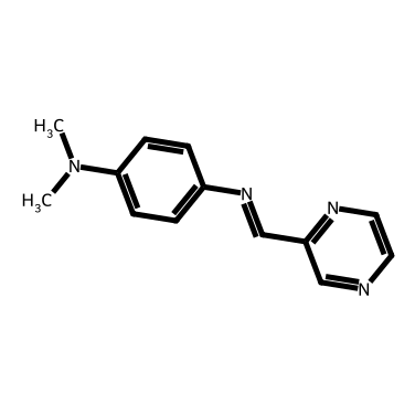 CN(C)c1ccc(N=Cc2cnccn2)cc1